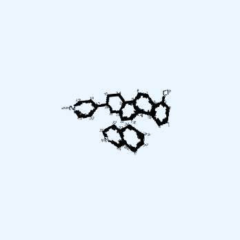 Clc1cccc2c1ccc1c3c(ccc12)CC(c1ccncc1)CC3.c1ccc2cnccc2c1